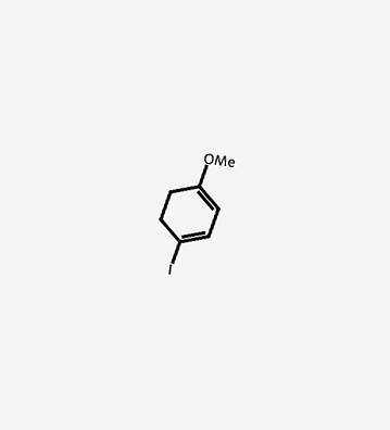 COC1=CC=C(I)CC1